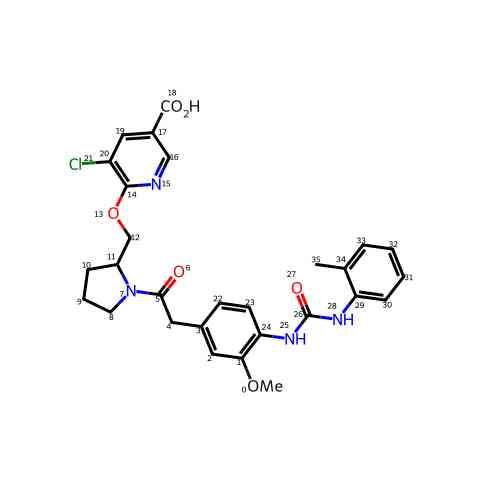 COc1cc(CC(=O)N2CCCC2COc2ncc(C(=O)O)cc2Cl)ccc1NC(=O)Nc1ccccc1C